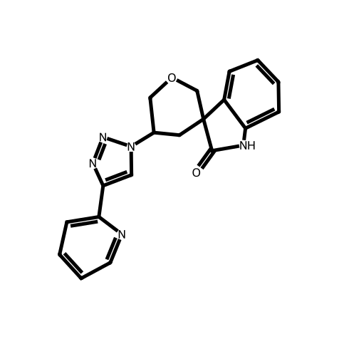 O=C1Nc2ccccc2C12COCC(n1cc(-c3ccccn3)nn1)C2